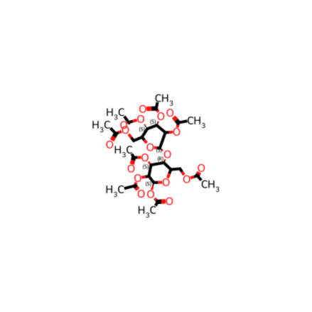 CC(=O)OCC1O[C@@H](OC(C)=O)C(OC(C)=O)[C@@H](OC(C)=O)[C@@H]1O[C@@H]1OC(COC(C)=O)[C@H](OC(C)=O)[C@H](OC(C)=O)C1OC(C)=O